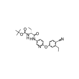 CCc1cc(Oc2ccc(NC(=O)[C@@H](CC)NC(=O)OC(C)(C)C)cn2)ccc1C#N